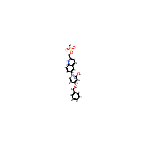 CS(=O)(=O)OCc1ccc2cc(-n3ccc(OCc4ccccc4)cc3=O)ccc2n1